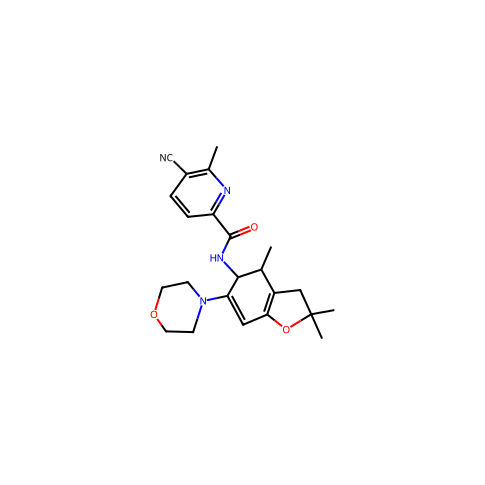 Cc1nc(C(=O)NC2C(N3CCOCC3)=CC3=C(CC(C)(C)O3)C2C)ccc1C#N